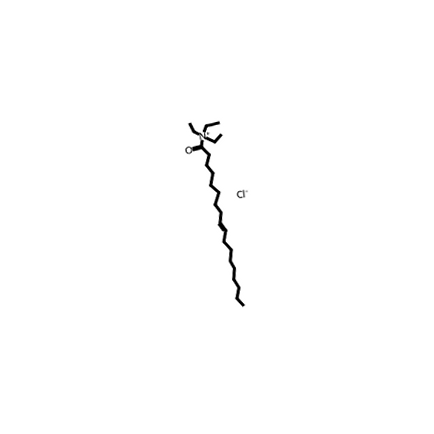 CCCCCCCCC=CCCCCCCCC(=O)[N+](CC)(CC)CC.[Cl-]